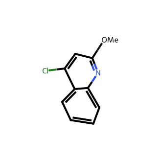 COc1cc(Cl)c2ccccc2n1